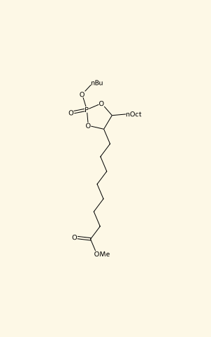 CCCCCCCCC1OP(=O)(OCCCC)OC1CCCCCCCC(=O)OC